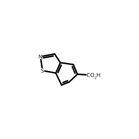 O=C(O)c1ccc2sncc2c1